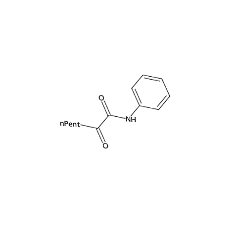 CCCCCC(=O)C(=O)Nc1ccccc1